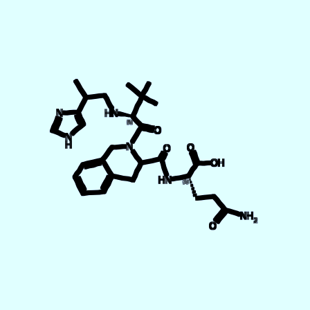 CC(CN[C@H](C(=O)N1Cc2ccccc2CC1C(=O)N[C@@H](CCC(N)=O)C(=O)O)C(C)(C)C)c1c[nH]cn1